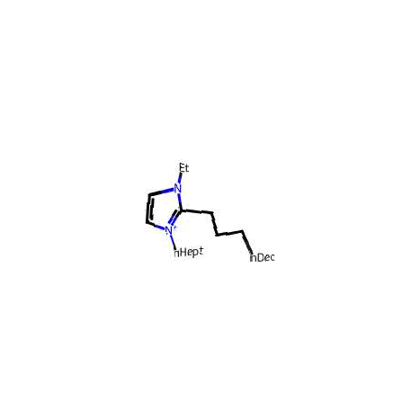 CCCCCCCCCCCCCc1n(CC)cc[n+]1CCCCCCC